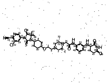 C[C@@H]1CN(CCOC2CCC(N3C(=S)N(c4cnc(C#N)c(Cl)c4)C(=O)C3(C)C)CC2)C[C@H](C)N1CC(=O)Nc1cccc(NC2CCC(=O)NC2=O)c1